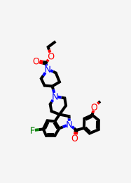 CCOC(=O)N1CCC(N2CCC3(CC2)CN(C(=O)c2cccc(OC)c2)c2ccc(F)cc23)CC1